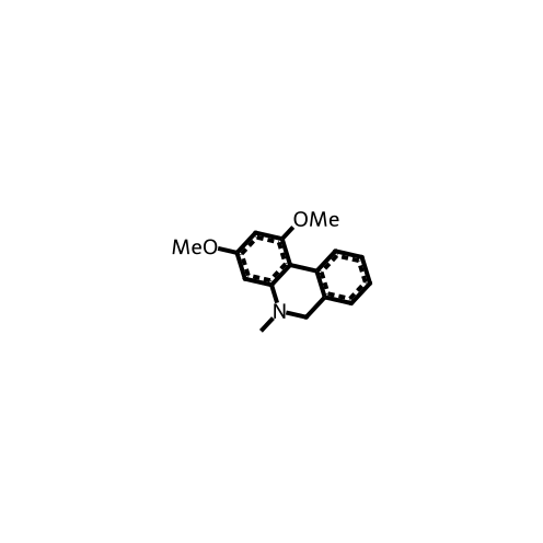 COc1cc(OC)c2c(c1)N(C)Cc1ccccc1-2